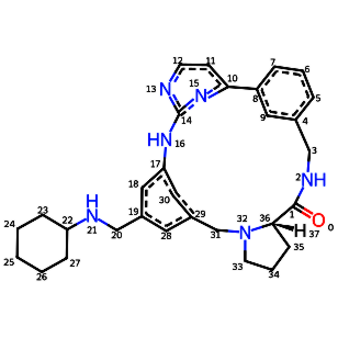 O=C1NCc2cccc(c2)-c2ccnc(n2)Nc2cc(CNC3CCCCC3)cc(c2)CN2CCC[C@@H]12